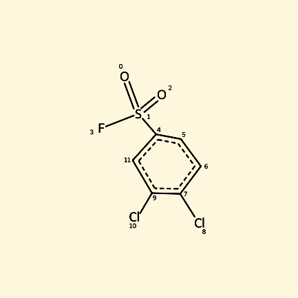 O=S(=O)(F)c1ccc(Cl)c(Cl)c1